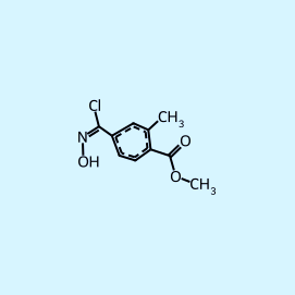 COC(=O)c1ccc(/C(Cl)=N\O)cc1C